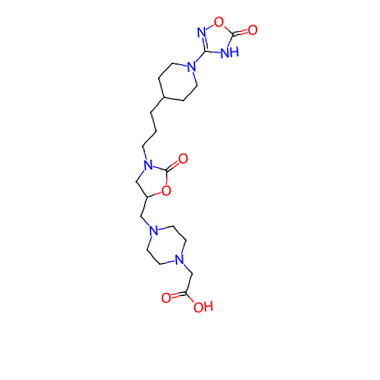 O=C(O)CN1CCN(CC2CN(CCCC3CCN(c4noc(=O)[nH]4)CC3)C(=O)O2)CC1